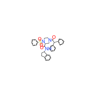 O=C(NC1CCc2ccccc21)C1CN(C(=O)C(c2ccccc2)c2ccccc2)CCN1S(=O)(=O)c1ccccc1